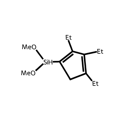 CCC1=C(CC)C(CC)=C([SiH](OC)OC)C1